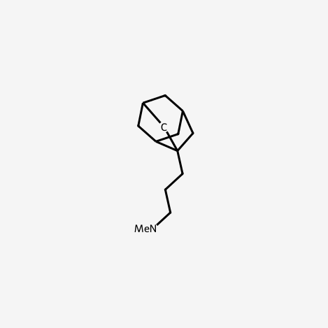 CNCCCC12CC3CC(CC1C3)C2